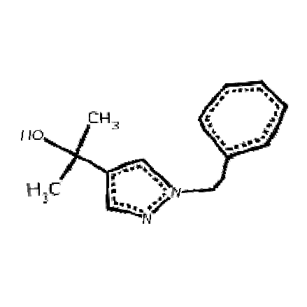 CC(C)(O)c1cnn(Cc2ccccc2)c1